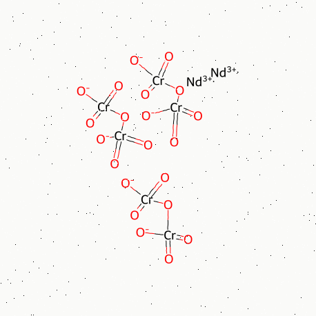 [Nd+3].[Nd+3].[O]=[Cr](=[O])([O-])[O][Cr](=[O])(=[O])[O-].[O]=[Cr](=[O])([O-])[O][Cr](=[O])(=[O])[O-].[O]=[Cr](=[O])([O-])[O][Cr](=[O])(=[O])[O-]